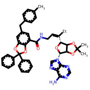 CCC(=CCNC(=O)c1cc(Cc2ccc(C)cc2)cc2c1OC(c1ccccc1)(c1ccccc1)O2)[C@H]1O[C@@H](n2cnc3c(N)ncnc32)C2OC(C)(C)OC21